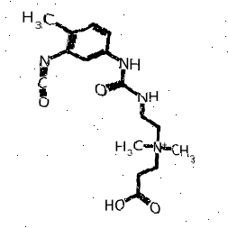 Cc1ccc(NC(=O)NCC[N+](C)(C)CCC(=O)O)cc1N=C=O